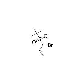 C=CC(Br)S(=O)(=O)C(C)(C)C